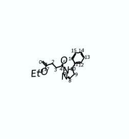 C=C(CCC(=O)N1N=CCC1c1ccccc1)OCC